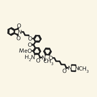 COc1c(C(=O)c2ccccc2OCCCN2C(=O)c3ccccc3C2=O)ccc(C(=O)N(C)c2ccccc2OCCCCCC(=O)N2CCN(C)CC2)c1N